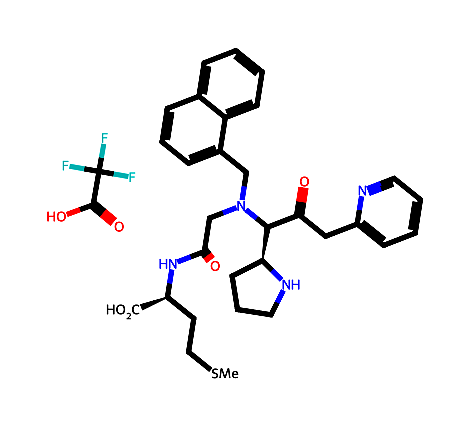 CSCC[C@H](NC(=O)CN(Cc1cccc2ccccc12)C(C(=O)Cc1ccccn1)[C@@H]1CCCN1)C(=O)O.O=C(O)C(F)(F)F